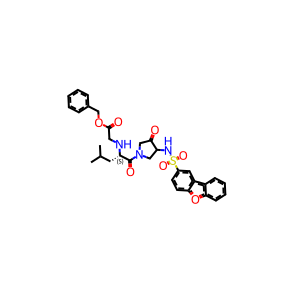 CC(C)C[C@H](NCC(=O)OCc1ccccc1)C(=O)N1CC(=O)C(NS(=O)(=O)c2ccc3oc4ccccc4c3c2)C1